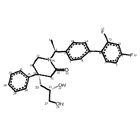 C[C@@H](c1ccc(-c2ccc(F)cc2F)cc1)N1CC[C@](C[C@H](O)CO)(c2ccccc2)CC1=O